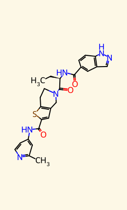 CC[C@@H](NC(=O)c1ccc2[nH]ncc2c1)C(=O)N1CCc2sc(C(=O)Nc3ccnc(C)c3)cc2C1